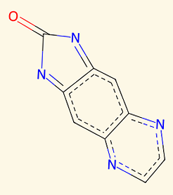 O=C1N=c2cc3nccnc3cc2=N1